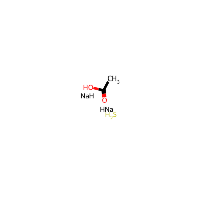 CC(=O)O.S.[NaH].[NaH]